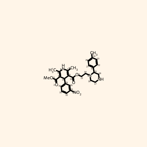 COC(=O)C1=C(C)NC(C)=C(C(=O)OCCN2CCNCC2c2ccc(C)cc2)C1c1cccc([N+](=O)[O-])c1